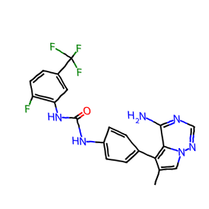 Cc1cn2ncnc(N)c2c1-c1ccc(NC(=O)Nc2cc(C(F)(F)F)ccc2F)cc1